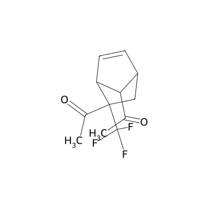 CC(=O)C1C2C=CC1C(C(C)=O)(C(F)(F)F)C2